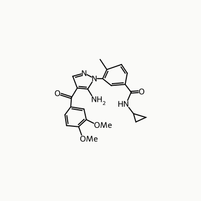 COc1ccc(C(=O)c2cnn(-c3cc(C(=O)NC4CC4)ccc3C)c2N)cc1OC